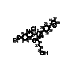 CCOc1ccc2cc(C3CC(c4ccc(-c5ccco5)cc4)=NN3C(=O)CCCCO)c(Cl)nc2c1